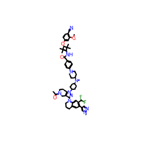 COc1cc(OC2C(C)(C)C(NC(=O)c3ccc(N4CCC(N(C)C5CCC(n6nc(N7CCCc8cc(-c9cnn(C)c9)c(C(F)F)cc87)c7c6CCN(C(C)=O)C7)CC5)CC4)cc3)C2(C)C)ccc1C#N